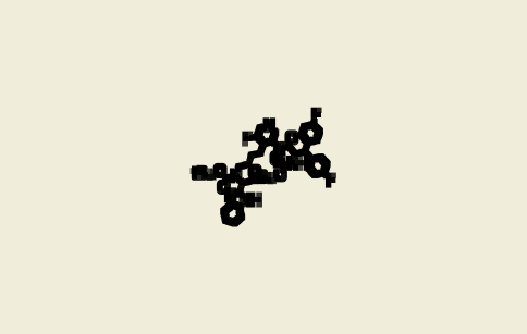 CC(C)(C)OC(=O)N[C@H](C(=O)Nc1cncc(F)c1CC[C@@H]1CN(C(=O)OC(C)(C)C)[C@H](c2nc3ccccc3[nH]2)CO1)C(c1ccc(F)cc1)c1ccc(F)cc1